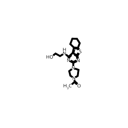 CC(=O)N1CCN(c2nc(NCCO)c3c4c(sc3n2)CCCC4)CC1